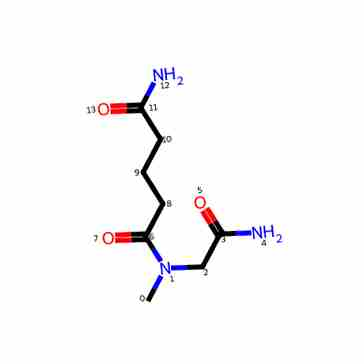 CN(CC(N)=O)C(=O)CCCC(N)=O